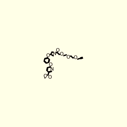 C#CCOCCOCCOCC(=O)N1CC(Oc2cccc(Oc3ccc(C(=O)OC)cn3)c2)C1